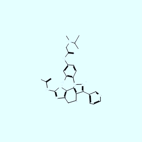 CC(=O)Nc1nc2c(s1)-c1c(c(-c3cccnc3)nn1-c1ccc(NC(=O)CN(C)C(C)C)cc1F)CC2